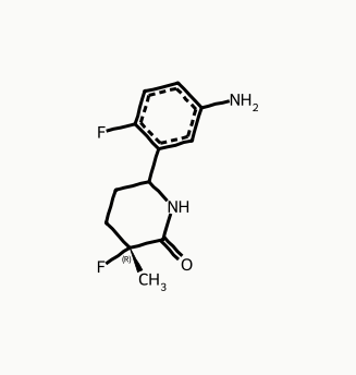 C[C@@]1(F)CCC(c2cc(N)ccc2F)NC1=O